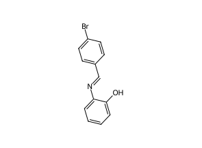 Oc1ccccc1/N=C/c1ccc(Br)cc1